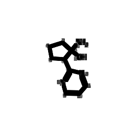 NC1(O)CCCC1c1ncccn1